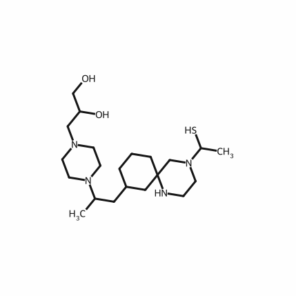 CC(S)N1CCNC2(CCCC(CC(C)N3CCN(CC(O)CO)CC3)C2)C1